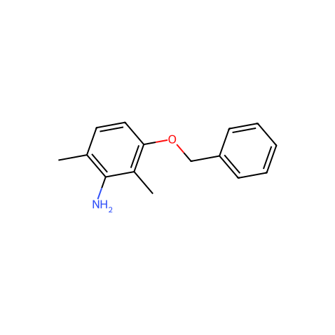 Cc1ccc(OCc2ccccc2)c(C)c1N